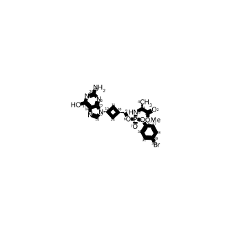 COC(=O)[C@H](C)NP(=O)(OC[C@H]1C[C@@H](n2cnc3c(O)nc(N)nc32)C1)Oc1ccc(Br)cc1